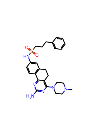 CN1CCN(c2nc(N)nc3c2CCc2cc(NS(=O)(=O)CCCc4ccccc4)ccc2-3)CC1